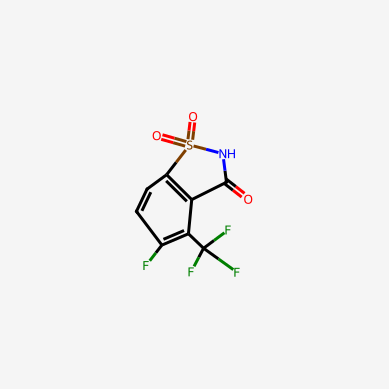 O=C1NS(=O)(=O)c2ccc(F)c(C(F)(F)F)c21